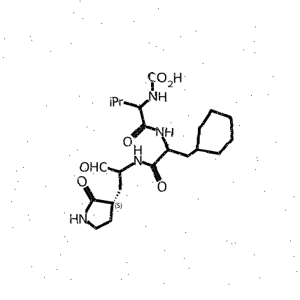 CC(C)C(NC(=O)O)C(=O)NC(CC1CCCCC1)C(=O)NC(C=O)C[C@@H]1CCNC1=O